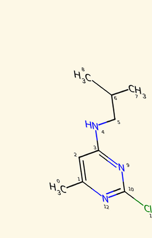 Cc1cc(NCC(C)C)nc(Cl)n1